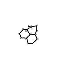 B1CCC2CCCC3CCCC1C23